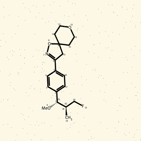 CO[C@H](c1ccc(C2=NOC3(CCOCC3)C2)cc1)[C@H](C)CF